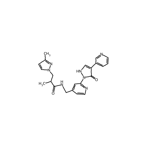 Cc1ccn(CC(C)C(=O)NCc2ccnc(-n3[nH]cc(-c4cccnc4)c3=O)c2)n1